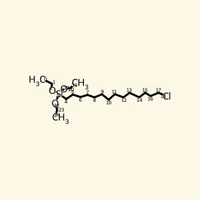 CCO[Si](CCCCCCCCCCCCCCCl)(OCC)OCC